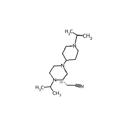 CC(C)N1CCC(N2CCN(C(C)C)[C@@H](CC#N)C2)CC1